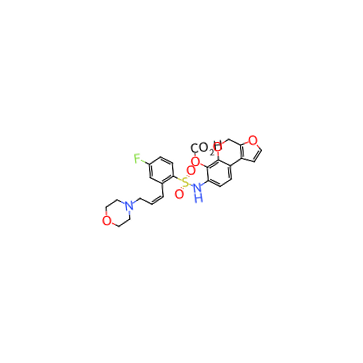 O=C(O)Oc1c(NS(=O)(=O)c2ccc(F)cc2/C=C\CN2CCOCC2)ccc2c1OCc1occc1-2